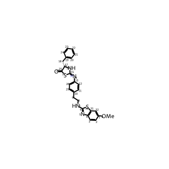 COc1ccc2nc(NCCc3ccc(/N=C4/N[C@@H](Cc5ccccc5)C(=O)S4)cc3)sc2c1